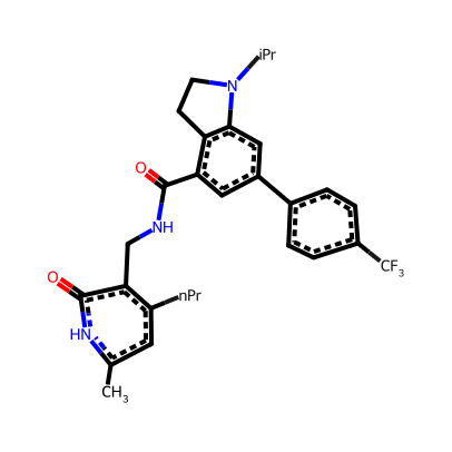 CCCc1cc(C)[nH]c(=O)c1CNC(=O)c1cc(-c2ccc(C(F)(F)F)cc2)cc2c1CCN2C(C)C